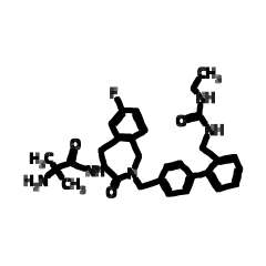 CCNC(=O)NCc1ccccc1-c1ccc(CN2Cc3ccc(F)cc3C[C@@H](NC(=O)C(C)(C)N)C2=O)cc1